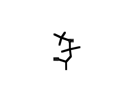 CC(O)CC(C)(C)NC(C)(C)C